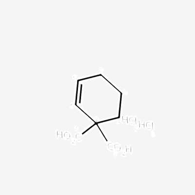 Cl.Cl.O=C(O)C1(C(=O)O)C=CCCC1